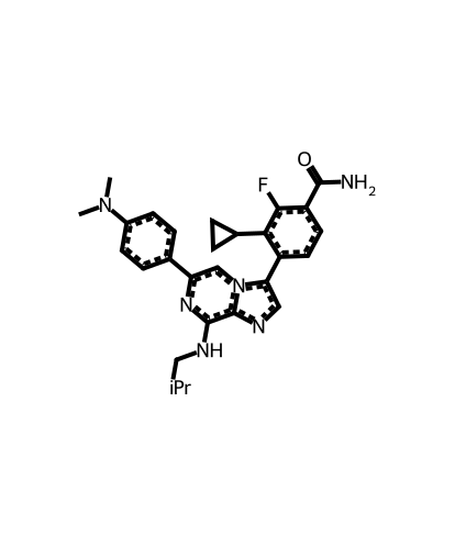 CC(C)CNc1nc(-c2ccc(N(C)C)cc2)cn2c(-c3ccc(C(N)=O)c(F)c3C3CC3)cnc12